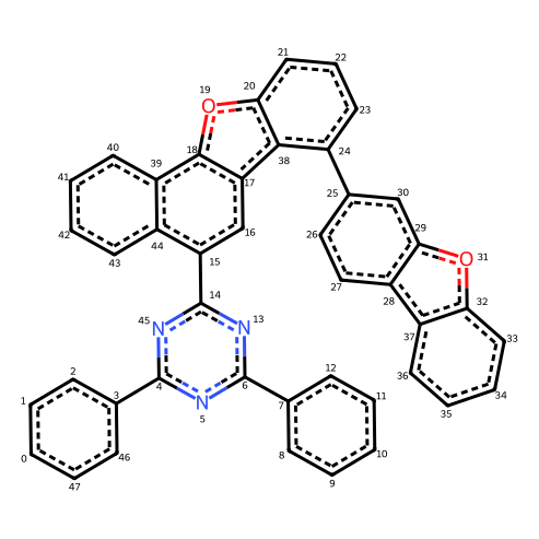 c1ccc(-c2nc(-c3ccccc3)nc(-c3cc4c(oc5cccc(-c6ccc7c(c6)oc6ccccc67)c54)c4ccccc34)n2)cc1